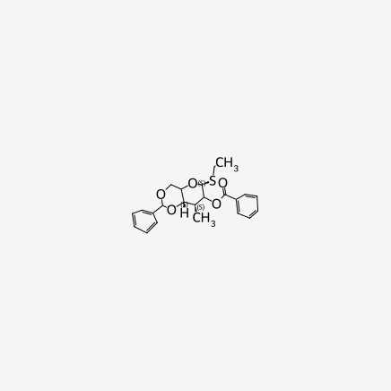 CCS[C@@H]1OC2COC(c3ccccc3)O[C@H]2[C@H](C)C1OC(=O)c1ccccc1